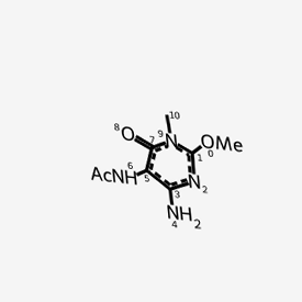 COc1nc(N)c(NC(C)=O)c(=O)n1C